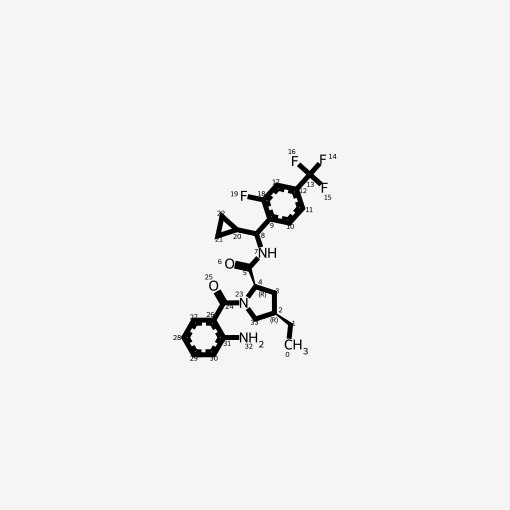 CC[C@@H]1C[C@H](C(=O)NC(c2ccc(C(F)(F)F)cc2F)C2CC2)N(C(=O)c2ccccc2N)C1